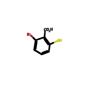 O=C(O)c1c(S)cccc1Br